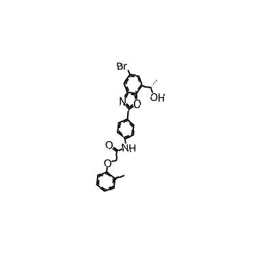 Cc1ccccc1OCC(=O)Nc1ccc(-c2nc3cc(Br)cc([C@H](C)O)c3o2)cc1